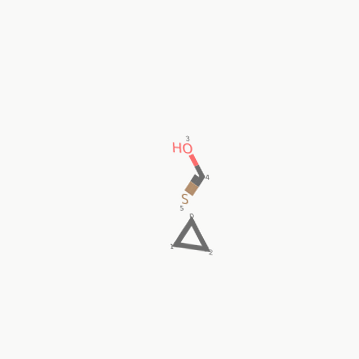 C1CC1.OC=S